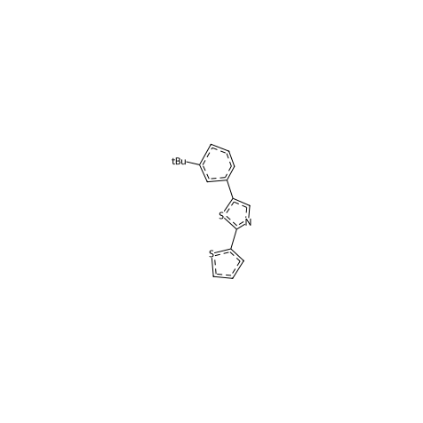 CC(C)(C)c1cccc(-c2cnc(-c3cccs3)s2)c1